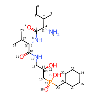 CCC(C)[C@H](N)C(=O)N[C@H](C(=O)NC[C@@H](O)CP(=O)(O)CC1CCCCC1)C(C)C